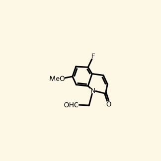 COc1cc(F)c2ccc(=O)n(CC=O)c2c1